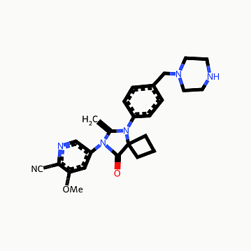 C=C1N(c2cnc(C#N)c(OC)c2)C(=O)C2(CCC2)N1c1ccc(CN2CCNCC2)cc1